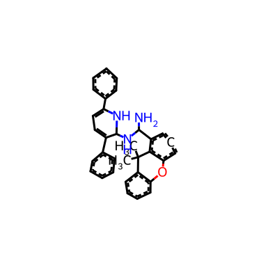 CC1(C)c2ccccc2Oc2cccc(C(N)NC3NC(c4ccccc4)=CC=C3c3ccccc3)c21